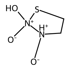 [O-][NH+]1CCS[N+]1([O-])O